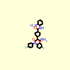 NC(=O)C(C(=O)N(c1ccc(F)cc1)c1ccc(F)cc1)c1ccc(C(=O)Nc2ccccc2N)cc1